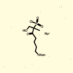 CCCCCCCCCCCCCC(=O)C(C)(CO)S(=O)(=O)[O-].[Na+]